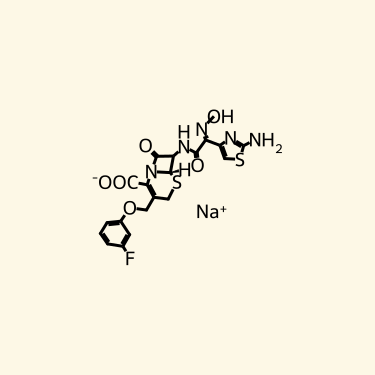 Nc1nc(C(=NO)C(=O)NC2C(=O)N3C(C(=O)[O-])=C(COc4cccc(F)c4)CS[C@@H]23)cs1.[Na+]